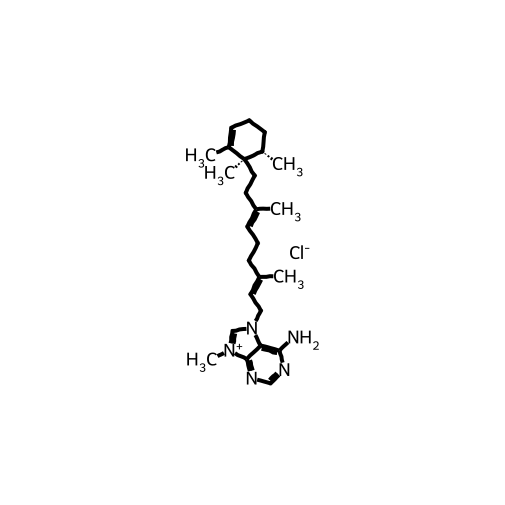 CC1=CCC[C@H](C)[C@@]1(C)CC/C(C)=C/CC/C(C)=C/Cn1c[n+](C)c2ncnc(N)c21.[Cl-]